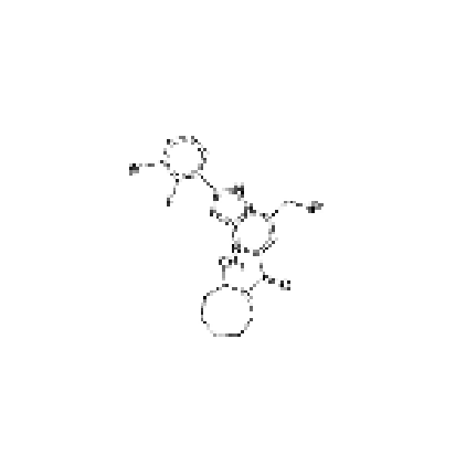 CC(C)Cc1cc(C(=O)N2CCCCCC2C)nc2cc(-c3cccc(Br)c3F)nn12